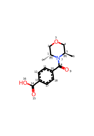 C[C@@H]1COC[C@@H](C)N1C(=O)c1ccc(C(=O)O)cc1